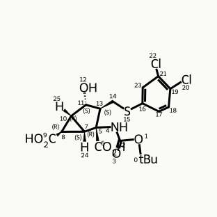 CC(C)(C)OC(=O)N[C@]1(C(=O)O)[C@@H]2[C@@H](C(=O)O)[C@@H]2[C@H](O)[C@H]1CSc1ccc(Cl)c(Cl)c1